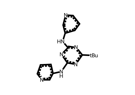 CC(C)(C)c1nc(Nc2cccnc2)nc(Nc2cccnc2)n1